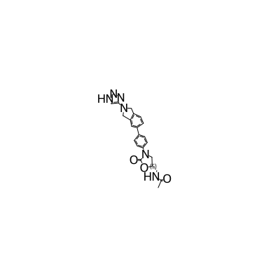 CC(=O)NC[C@H]1CN(c2ccc(-c3ccc4c(c3)CN(c3c[nH]nn3)C4)cc2)C(=O)O1